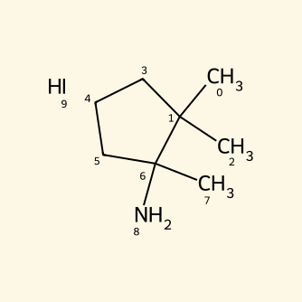 CC1(C)CCCC1(C)N.I